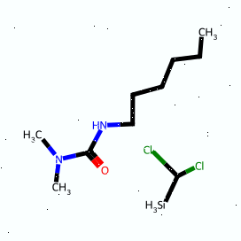 CCCCCCNC(=O)N(C)C.[SiH3]C(Cl)Cl